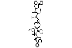 CCOC1(C(=O)N(C)C2=C(C)C(=O)OC2)CCN(C[C@H](F)c2ccc3c(c2C)COC3=O)CC1